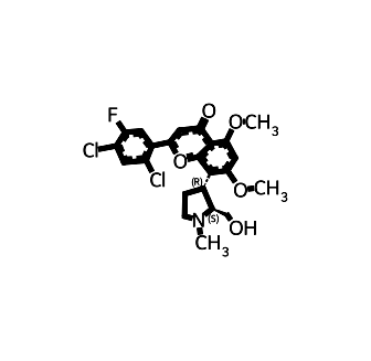 COc1cc(OC)c2c(=O)cc(-c3cc(F)c(Cl)cc3Cl)oc2c1[C@H]1CCN(C)[C@@H]1CO